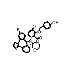 CC(=O)Oc1ccc(COc2c3n(ccc2=O)N(C2c4ccc(F)cc4-c4ccsc4-c4ccccc42)[C@@H]2COCCN2C3=O)cc1